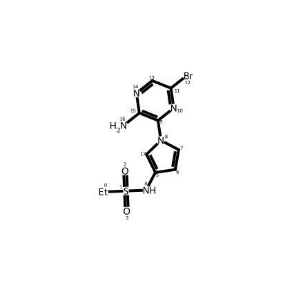 CCS(=O)(=O)Nc1ccn(-c2nc(Br)cnc2N)c1